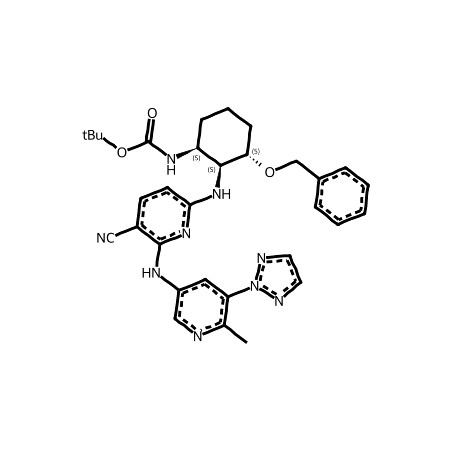 Cc1ncc(Nc2nc(N[C@H]3[C@@H](NC(=O)OC(C)(C)C)CCC[C@@H]3OCc3ccccc3)ccc2C#N)cc1-n1nccn1